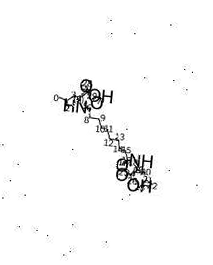 CC(C)C[C@H](NC(=O)CCCCCCCCC(=O)N[C@@H](CC(C)C)C(=O)O)C(=O)O